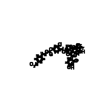 CC(OCc1ccc(OC(=O)OCCc2ccc([N+](=O)[O-])cc2)cc1Cl)O[C@H]1[C@H](n2ccc(=O)[nH]c2=O)O[C@@H]2C(O)[Si](C(C)C)(C(C)C)O[Si](C(C)C)(C(C)C)[C@@]21O